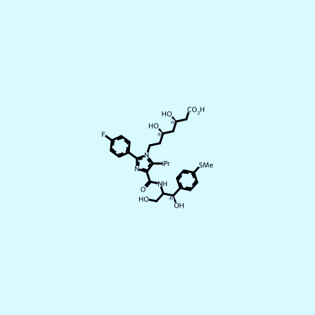 CSc1ccc([C@@H](O)C(CO)NC(=O)c2nc(-c3ccc(F)cc3)n(CC[C@@H](O)C[C@@H](O)CC(=O)O)c2C(C)C)cc1